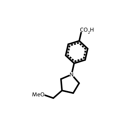 COCC1CCN(c2ccc(C(=O)O)cc2)C1